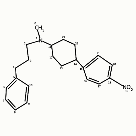 CN(CCCc1ccccc1)C1CCC(c2ccc([N+](=O)[O-])cc2)CC1